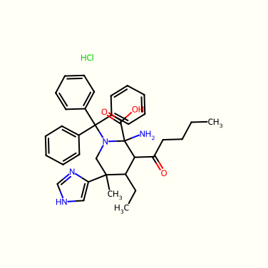 CCCCC(=O)C1C(CC)C(C)(c2c[nH]cn2)CN(C(c2ccccc2)(c2ccccc2)c2ccccc2)C1(N)C(=O)O.Cl